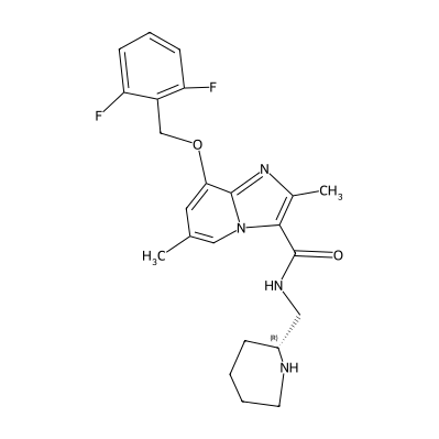 Cc1cc(OCc2c(F)cccc2F)c2nc(C)c(C(=O)NC[C@H]3CCCCN3)n2c1